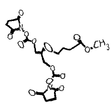 COC(=O)CCCOC(COC(=O)ON1C(=O)CCC1=O)COC(=O)ON1C(=O)CCC1=O